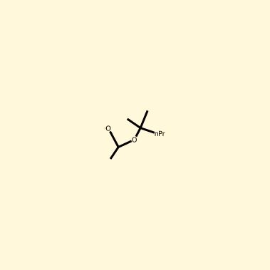 CCCC(C)(C)OC(C)[O]